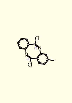 Cc1ccc2c(c1)/N=C(/Cl)c1ccccc1/N=C\2Cl